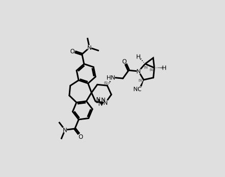 CN(C)C(=O)c1ccc2c(c1)CCc1cc(C(=O)N(C)C)ccc1C21C[C@H](NCC(=O)N2[C@H](C#N)C[C@@H]3C[C@@H]32)Cn2nnnc21